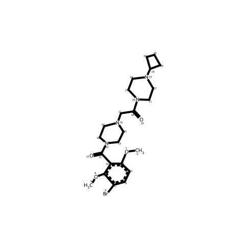 COc1ccc(Br)c(OC)c1C(=O)N1CCN(CC(=O)N2CCN(C3CCC3)CC2)CC1